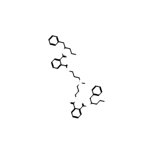 CCCC(Cc1ccccc1)OC(=O)c1ccccc1C(=O)NCCCN(C)CCCNC(=O)c1ccccc1C(=O)OC(CCC)Cc1ccccc1